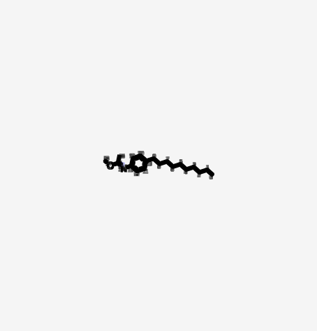 CCCCCCCCCCc1ccc(/N=C(\C)OC)cc1